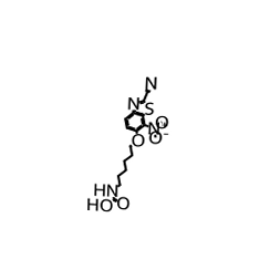 N#Cc1nc2ccc(OCCCCCCNC(=O)O)c([N+](=O)[O-])c2s1